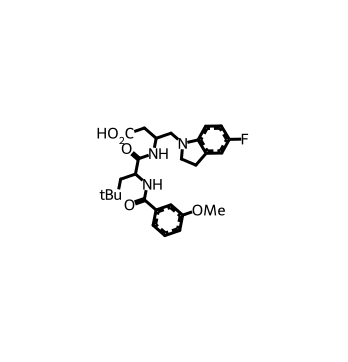 COc1cccc(C(=O)NC(CC(C)(C)C)C(=O)NC(CC(=O)O)CN2CCc3cc(F)ccc32)c1